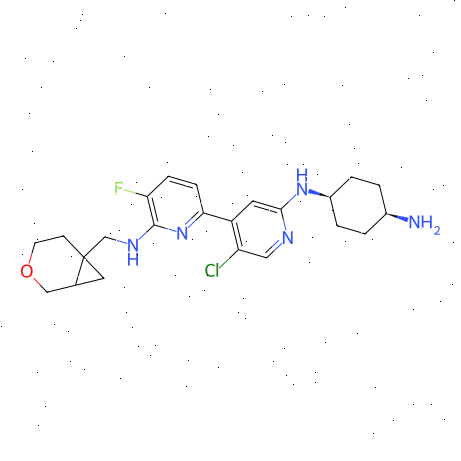 N[C@H]1CC[C@@H](Nc2cc(-c3ccc(F)c(NCC45CCOCC4C5)n3)c(Cl)cn2)CC1